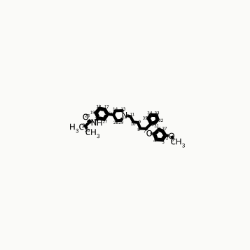 COc1ccc(OC(CCCCN2CCC(c3cccc(NC(=O)C(C)C)c3)CC2)c2ccccc2)cc1